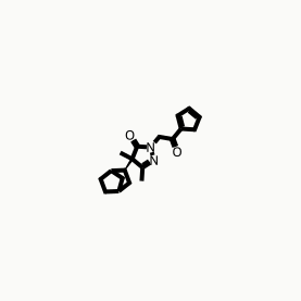 CC1=NN(CC(=O)C2=CC=CC2)C(=O)C1(C)[C@H]1CC2CCC1C2